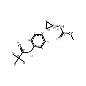 COC(=O)N[C@@H]1C[C@H]1c1ccc(OC(=O)C(C)(C)C)cc1